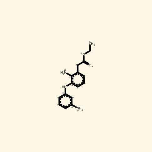 CCOC(=O)Cc1cccc(Nc2cccc(N)c2)c1N